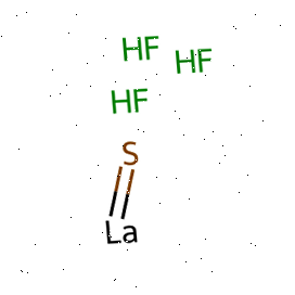 F.F.F.[S]=[La]